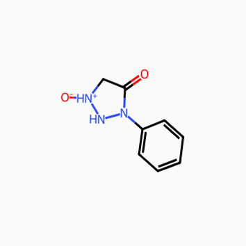 O=C1C[NH+]([O-])NN1c1ccccc1